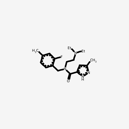 CCN(CC)CCN(Cc1ccc(C)cc1F)C(=O)c1cc(C)n[nH]1